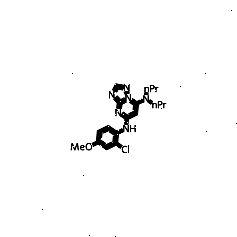 CCCN(CCC)c1cc(Nc2ccc(OC)cc2Cl)nc2ncnn12